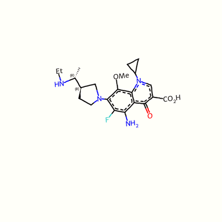 CCN[C@H](C)[C@@H]1CCN(c2c(F)c(N)c3c(=O)c(C(=O)O)cn(C4CC4)c3c2OC)C1